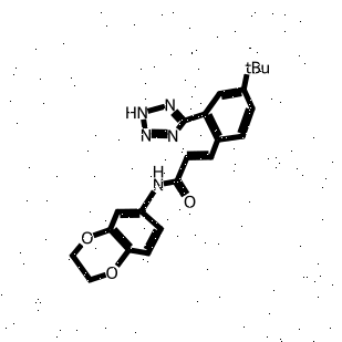 CC(C)(C)c1ccc(/C=C/C(=O)Nc2ccc3c(c2)OCCO3)c(-c2nn[nH]n2)c1